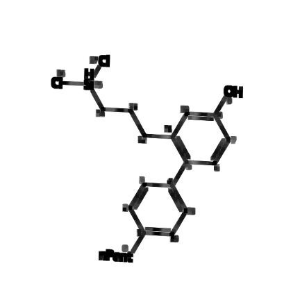 CCCCCc1ccc(-c2ccc(O)cc2CCC[SiH](Cl)Cl)cc1